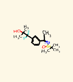 C/C(=N/[S+]([O-])C(C)(C)C)c1cccc(C(F)(F)C(C)(C)O)c1